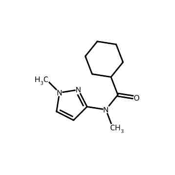 CN(C(=O)C1CCCCC1)c1ccn(C)n1